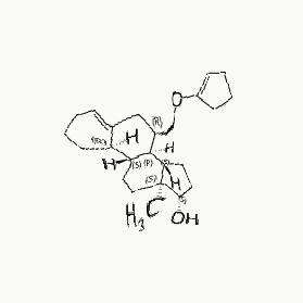 C[C@]12CC[C@H]3[C@@H]([C@H](COC4=CCCC4)CC4=CCCC[C@@H]43)[C@@H]1CC[C@@H]2O